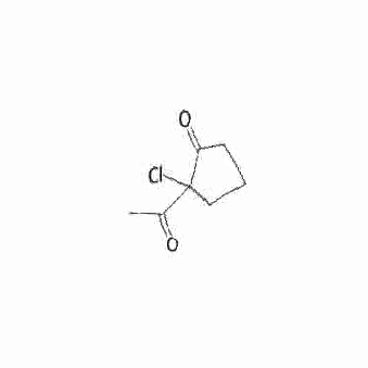 CC(=O)C1(Cl)CCCC1=O